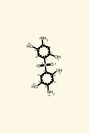 Nc1cc(O)c(S(=O)(=O)c2cc(O)c(N)cc2O)cc1O